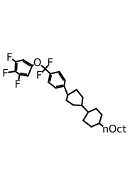 CCCCCCCCC1CCC(C2CCC(c3ccc(C(F)(F)Oc4cc(F)c(F)c(F)c4)cc3)CC2)CC1